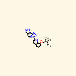 CC(C)COc1cccc2ccc(-c3nnc4cc(CN)ccn34)nc12